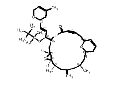 C=C1C[C@H](C)C[C@@H]2CC=C[C@@H](C/C=C\C(=O)O[C@H]([C@H](/C=C/[C@@H]3CC(C)=CCO3)O[Si](C)(C)C(C)(C)C)C[C@H]3O[C@@H]3[C@@H](C)C1)O2